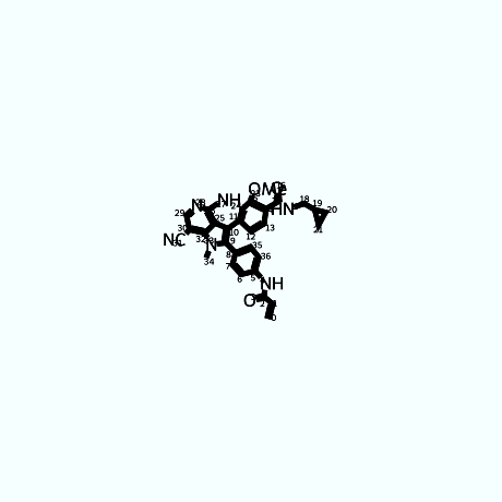 C=CC(=O)Nc1ccc(-c2c(-c3ccc(C(=O)NCC4CC4)c(OC)c3)c3c(N)ncc(C#N)c3n2C)cc1